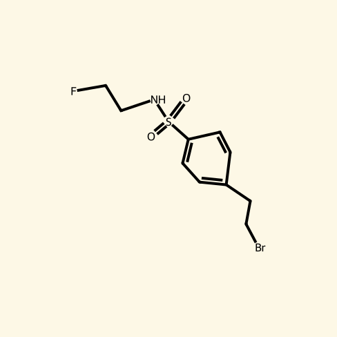 O=S(=O)(NCCF)c1ccc(CCBr)cc1